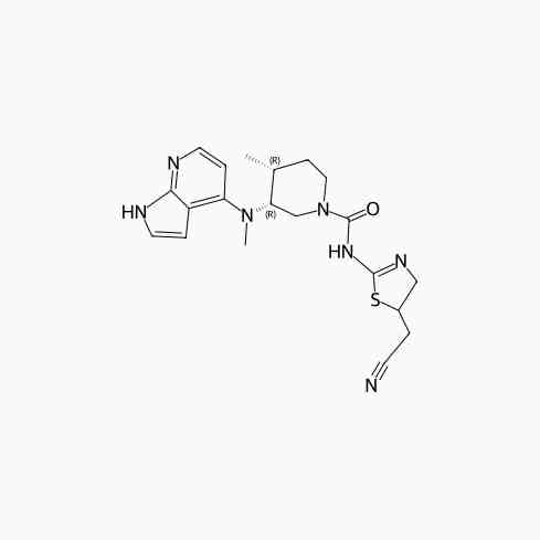 C[C@@H]1CCN(C(=O)NC2=NCC(CC#N)S2)C[C@@H]1N(C)c1ccnc2[nH]ccc12